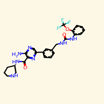 Nc1ncc(-c2cccc(CNC(=O)Nc3ccccc3OC(F)(F)F)c2)nc1C(=O)N[C@H]1CCCNC1